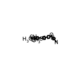 CC(C)(C)OC(=O)N1CCC(COc2ccc(C3=CCC(C(=O)N4CCC(C#N)CC4)CC3)cc2)CC1